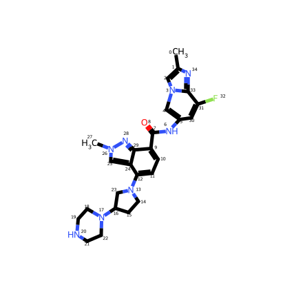 Cc1cn2cc(NC(=O)c3ccc(N4CCC(N5CCNCC5)C4)c4cn(C)nc34)cc(F)c2n1